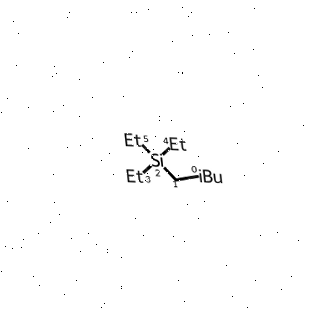 CCC(C)C[Si](CC)(CC)CC